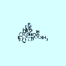 Cc1ccc(F)c(-c2c(F)cccc2C(O)(CCCNC(=O)C(F)(F)F)C2CCCN(C(=O)CC(O)CN)C2)c1